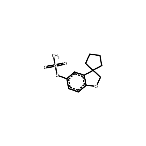 CS(=O)(=O)Oc1ccc2c(c1)C1(CCCC1)CO2